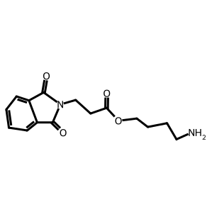 NCCCCOC(=O)CCN1C(=O)c2ccccc2C1=O